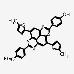 CCOc1ccc(C2=Nc3cc(-c4ccc(C)s4)c4c5c(cc(-c6ccc(C)s6)c(c35)S2)N=C(c2ccc(O)cc2)S4)cc1